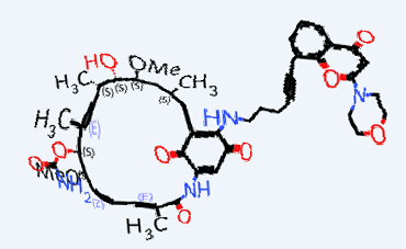 CO[C@H]1/C=C\C=C(/C)C(=O)NC2=CC(=O)C(NCCCC#Cc3cccc4c(=O)cc(N5CCOCC5)oc34)=C(C[C@H](C)C[C@H](OC)[C@@H](O)[C@@H](C)/C=C(\C)[C@@H]1OC(N)=O)C2=O